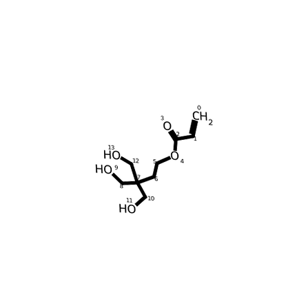 C=CC(=O)OCCC(CO)(CO)CO